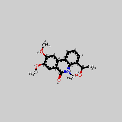 COc1cc2c(=O)n(C)c3c(C(C)O)cccc3c2cc1OC